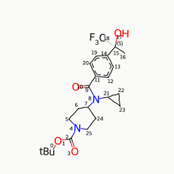 CC(C)(C)OC(=O)N1CCC(N(C(=O)c2ccc([C@](C)(O)C(F)(F)F)cc2)C2CC2)CC1